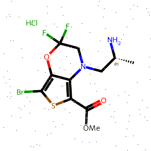 COC(=O)c1sc(Br)c2c1N(C[C@@H](C)N)CC(F)(F)O2.Cl